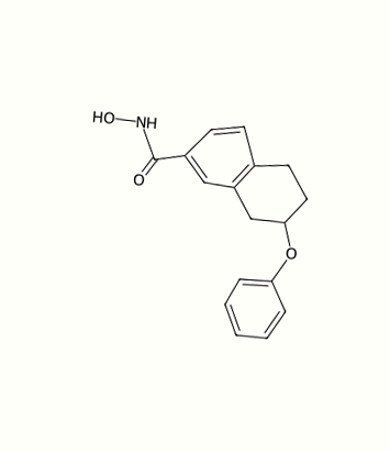 O=C(NO)c1ccc2c(c1)CC(Oc1ccccc1)CC2